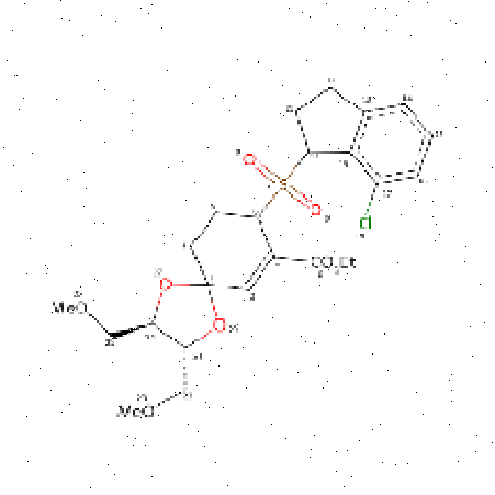 CCOC(=O)C1=CC2(CCC1S(=O)(=O)C1CCc3cccc(Cl)c31)O[C@H](COC)[C@@H](COC)O2